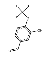 O=Cc1ccc(OC(F)(F)F)c(O)c1